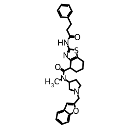 CN(C(=O)C1CCCc2sc(NC(=O)CCc3ccccc3)nc21)C1CCN(Cc2cc3ccccc3o2)C1